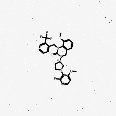 COc1cccc(F)c1N1CC[C@@H](N2Cc3cccc(OC)c3N(Cc3ccccc3C(F)(F)F)C2=O)C1